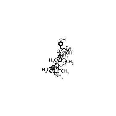 CCCCCCN(C(=O)C(NC(=O)[C@@]1(C)CCCN1CCN)C(C)CC)C(CC(OC(C)=O)c1nc(C(=O)NC(Cc2ccc(O)cc2)CC(C)(C)C(=O)O)cs1)C(C)C